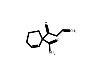 C=CCC(=O)C1(C(N)=O)C=CCCC1